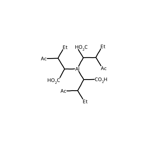 CCC(C(C)=O)[CH](C(=O)O)[Al]([CH](C(=O)O)C(CC)C(C)=O)[CH](C(=O)O)C(CC)C(C)=O